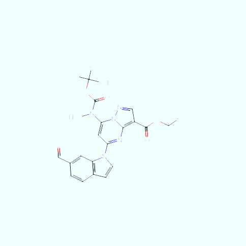 CCOC(=O)c1cnn2c(N(C)C(=O)OC(C)(C)C)cc(-n3ccc4ccc(C=O)cc43)nc12